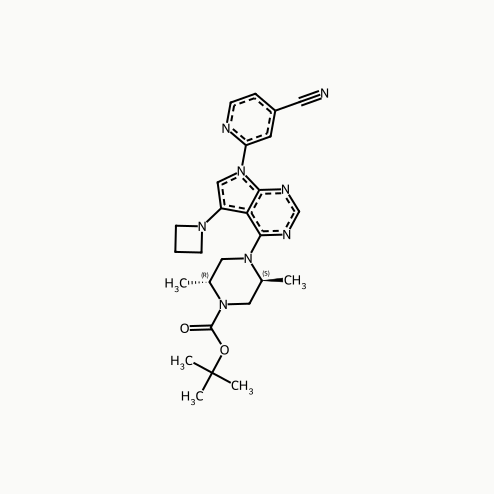 C[C@@H]1CN(c2ncnc3c2c(N2CCC2)cn3-c2cc(C#N)ccn2)[C@@H](C)CN1C(=O)OC(C)(C)C